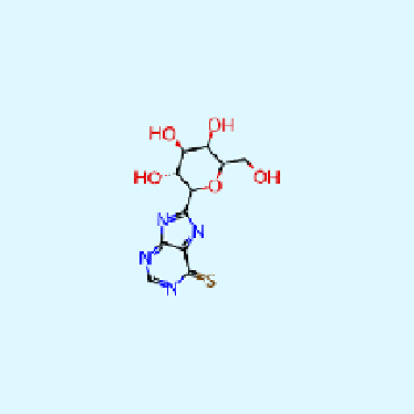 OC[C@H]1OC(C2=NC3=NC=NC(=S)C3=N2)[C@H](O)[C@@H](O)[C@H]1O